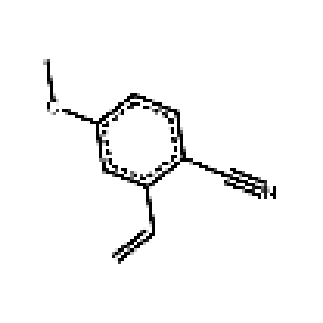 C=Cc1cc(OC)ccc1C#N